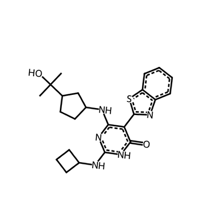 CC(C)(O)C1CCC(Nc2nc(NC3CCC3)[nH]c(=O)c2-c2nc3ccccc3s2)C1